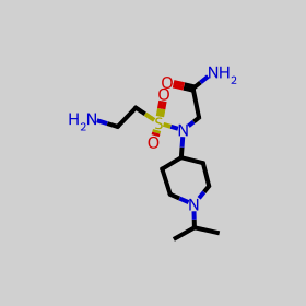 CC(C)N1CCC(N(CC(N)=O)S(=O)(=O)CCN)CC1